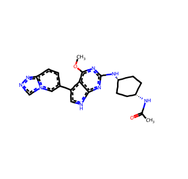 COc1nc(N[C@H]2CC[C@@H](NC(C)=O)CC2)nc2[nH]cc(-c3ccc4nncn4c3)c12